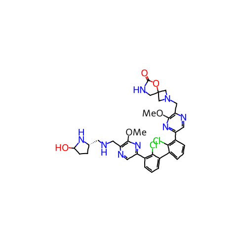 COc1nc(-c2cccc(-c3cccc(-c4cnc(CN5CC6(CNC(=O)O6)C5)c(OC)n4)c3Cl)c2Cl)cnc1CNC[C@@H]1CCC(O)N1